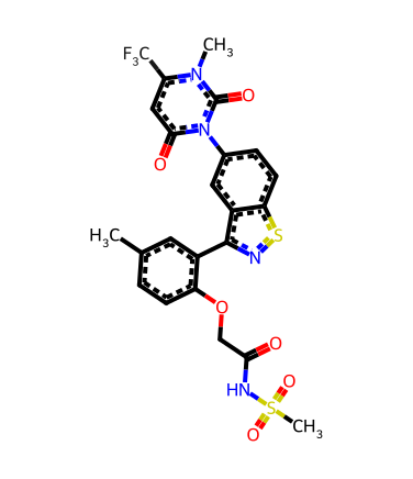 Cc1ccc(OCC(=O)NS(C)(=O)=O)c(-c2nsc3ccc(-n4c(=O)cc(C(F)(F)F)n(C)c4=O)cc23)c1